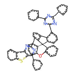 c1ccc(-c2nc(-c3ccccc3)nc(-c3cccc4c3-c3cccc(-c5nc(-c6ccccc6)c6sc7ccccc7c6n5)c3C43c4ccccc4Oc4ccccc43)n2)cc1